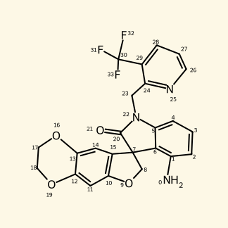 Nc1cccc2c1C1(COc3cc4c(cc31)OCCO4)C(=O)N2Cc1ncccc1C(F)(F)F